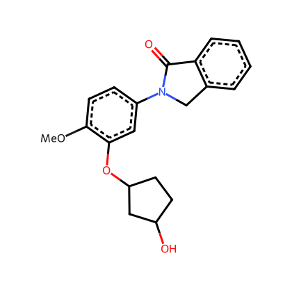 COc1ccc(N2Cc3ccccc3C2=O)cc1OC1CCC(O)C1